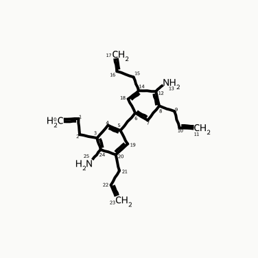 C=CCc1cc(-c2cc(CC=C)c(N)c(CC=C)c2)cc(CC=C)c1N